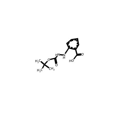 CC(C)(C)OC(=O)NNc1ccccc1C(=O)O